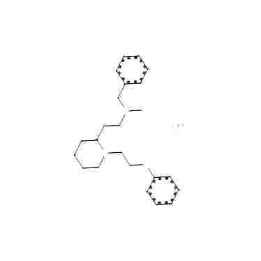 CN(CCC1CCCCN1CCOc1ccccc1)Cc1ccccc1.Cl.Cl